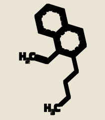 C=Cc1c(CCCC)ccc2ccccc12